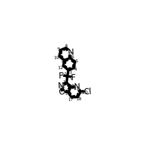 FC(F)(c1ccc2ncccc2c1)c1noc2ccc(Cl)nc12